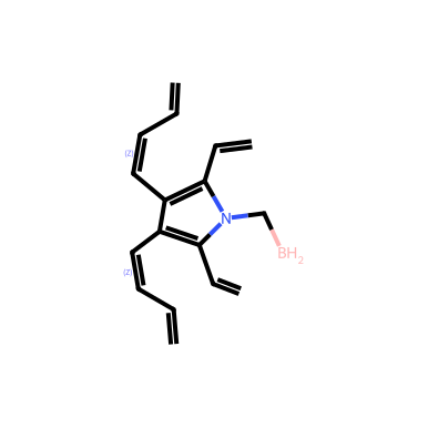 BCn1c(C=C)c(/C=C\C=C)c(/C=C\C=C)c1C=C